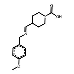 COc1ccc(CN=CC2CCN(C(=O)O)CC2)cc1